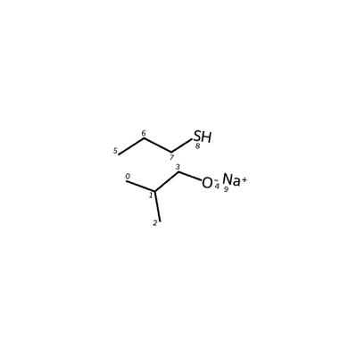 CC(C)C[O-].CCCS.[Na+]